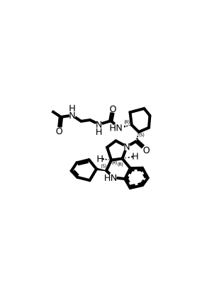 CC(=O)NCCNC(=O)N[C@@H]1CCCC[C@@H]1C(=O)N1CC[C@@H]2[C@H](C3C=CC=CC3)Nc3ccccc3[C@@H]21